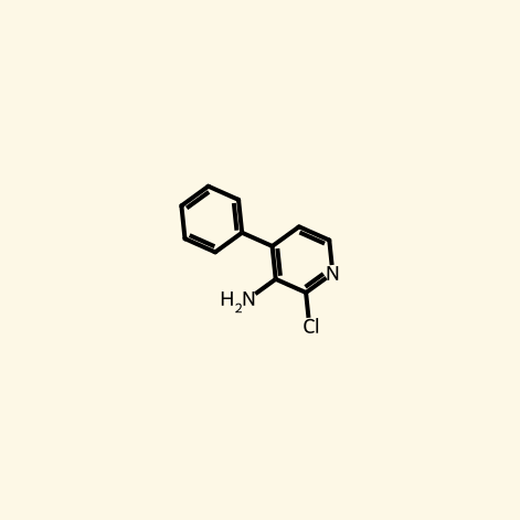 Nc1c(-c2ccccc2)ccnc1Cl